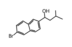 CC(C)CC(O)c1ccc2cc(Br)ccc2c1